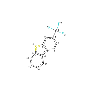 FC(F)(F)c1ccc2c(c1)sc1cc[c]cc12